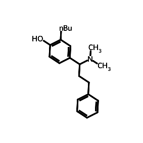 CCCCc1cc(C(CCc2ccccc2)N(C)C)ccc1O